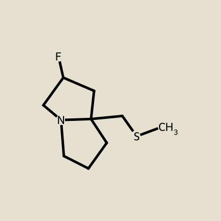 CSCC12CCCN1CC(F)C2